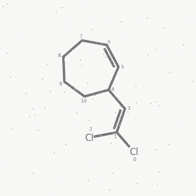 ClC(Cl)=CC1C=CCCCC1